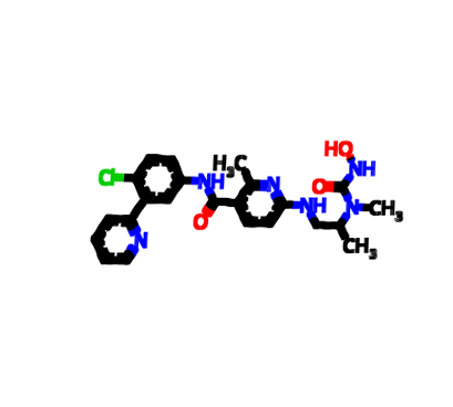 Cc1nc(NCC(C)N(C)C(=O)NO)ccc1C(=O)Nc1ccc(Cl)c(-c2ccccn2)c1